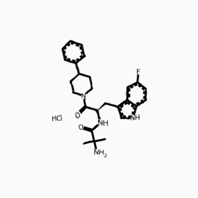 CC(C)(N)C(=O)N[C@H](Cc1c[nH]c2ccc(F)cc12)C(=O)N1CCC(c2ccccc2)CC1.Cl